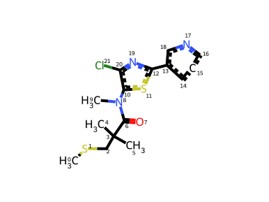 CSCC(C)(C)C(=O)N(C)c1sc(-c2cccnc2)nc1Cl